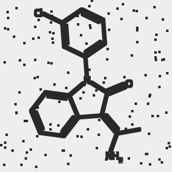 C/C(N)=C1\C(=O)N(c2cccc(Cl)c2)c2ccccc21